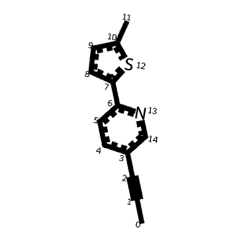 CC#Cc1ccc(-c2ccc(C)s2)nc1